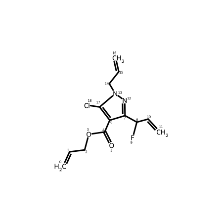 C=CCOC(=O)c1c(C(F)C=C)nn(CC=C)c1Cl